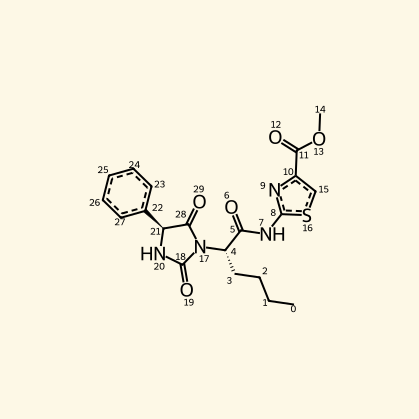 CCCC[C@@H](C(=O)Nc1nc(C(=O)OC)cs1)N1C(=O)N[C@@H](c2ccccc2)C1=O